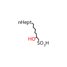 CCCCCCCCCCCCC(O)CS(=O)(=O)O